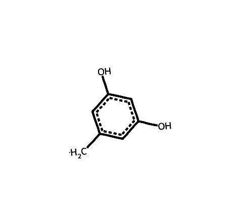 [CH2]c1cc(O)cc(O)c1